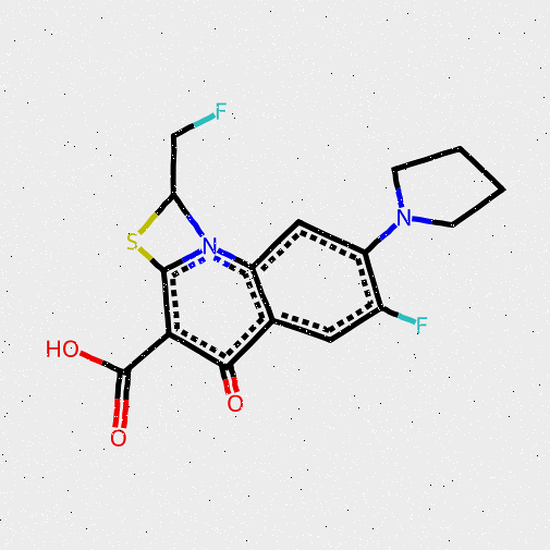 O=C(O)c1c2n(c3cc(N4CCCC4)c(F)cc3c1=O)C(CF)S2